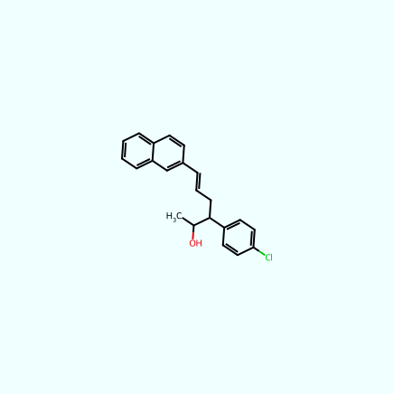 CC(O)C(CC=Cc1ccc2ccccc2c1)c1ccc(Cl)cc1